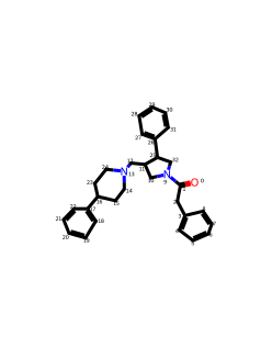 O=C(Cc1ccccc1)N1CC(CN2CCC(c3ccccc3)CC2)C(c2ccccc2)C1